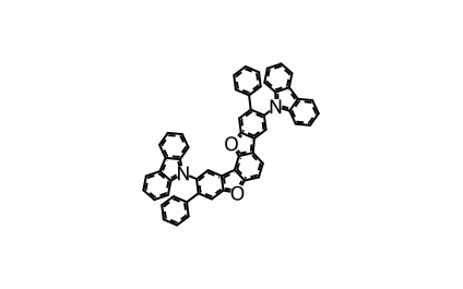 c1ccc(-c2cc3oc4c(ccc5oc6cc(-c7ccccc7)c(-n7c8ccccc8c8ccccc87)cc6c54)c3cc2-n2c3ccccc3c3ccccc32)cc1